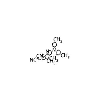 Cc1ccc(N(c2ccc(C)cc2)c2cnc3c(c2)C(C)(C)c2cc(C=C(C#N)C#N)sc2-3)cc1